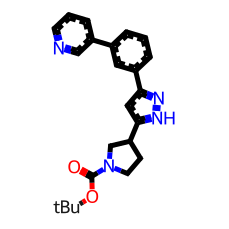 CC(C)(C)OC(=O)N1CCC(c2cc(-c3cccc(-c4cccnc4)c3)n[nH]2)C1